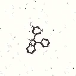 Fc1cncc(-c2nn3ccccc3c2-c2ccccc2)c1